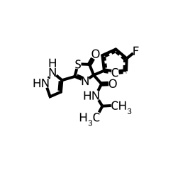 CC(C)NC(=O)C1(c2ccc(F)cc2)N=C(C2=CCNN2)SC1=O